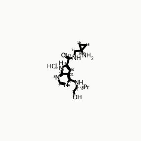 CC(C)[C@H](CO)Nc1ncnc2[nH]c(C(=O)NCC3(N)CC3)cc12.Cl